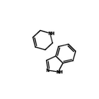 C1=CCNCC1.c1ccc2[nH]ncc2c1